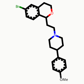 COc1ccc(C2CCN(CCC3OCCc4cc(Br)ccc43)CC2)cc1